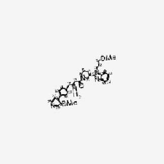 COCCCn1c([C@@H]2CCCN(C(=O)C[C@H](N)Cc3ccc(-c4ccncc4OC)cc3)C2)nc2ccccc21